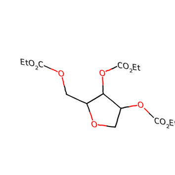 CCOC(=O)OCC1OCC(OC(=O)OCC)C1OC(=O)OCC